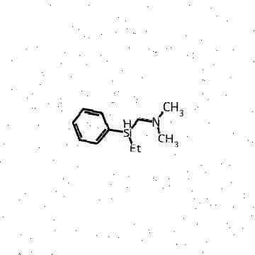 CC[SiH](CN(C)C)c1ccccc1